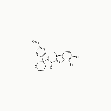 Cn1c(C(=O)NC2(c3ccc(C=O)cc3)CCCOC2)cc2c(Cl)c(Cl)ccc21